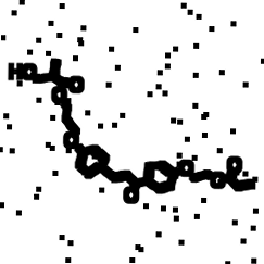 C=CC(=O)OCCOc1ccc(C(=O)/C=C/c2ccc(OCCCOC(=O)C(=C)CO)cc2)cc1